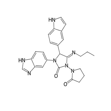 CCCN=C1C(c2ccc3[nH]ccc3c2)N(c2ccc3[nH]cnc3c2)C(=O)N1N1CCCC1=O